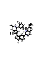 C=C/C=C(/c1ccccc1F)c1cc(-c2n[nH]c3cnc(C(/C=C(\C=C)NC(=C)CCCC)=C/C)cc23)[nH]c1C